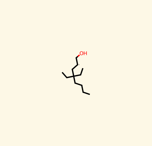 CCCCC(CC)(CC)C[CH]CO